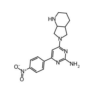 Nc1nc(-c2ccc([N+](=O)[O-])cc2)cc(N2CC3CCCNC3C2)n1